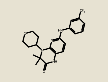 CC1(C)C(=O)Nc2ccc(Nc3cccc(C(F)(F)F)c3)nc2N1C1CCOCC1